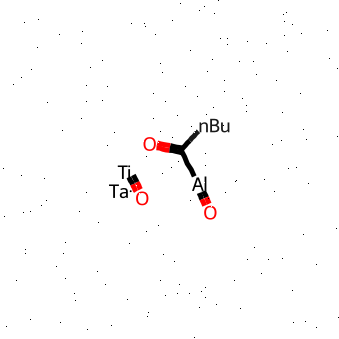 CCCC[C](=O)[Al]=[O].[O]=[Ti].[Ta]